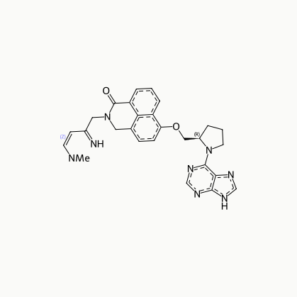 CN/C=C\C(=N)CN1Cc2ccc(OC[C@H]3CCCN3c3ncnc4[nH]cnc34)c3cccc(c23)C1=O